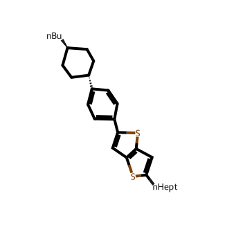 CCCCCCCc1cc2sc(-c3ccc([C@H]4CC[C@H](CCCC)CC4)cc3)cc2s1